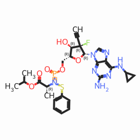 C#C[C@@]1(F)[C@H](O)[C@@H](CO[PH](=O)N(Sc2ccccc2)[C@H](C)C(=O)OC(C)C)O[C@H]1n1cnc2c(NC3CC3)nc(N)nc21